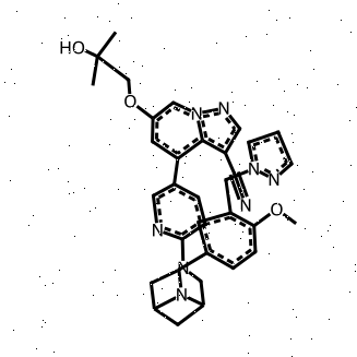 COc1ccc(CN2C3CC2CN(c2ccc(-c4cc(OCC(C)(C)O)cn5ncc(C#N)c45)cn2)C3)cc1Cn1cccn1